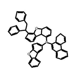 C1=CC2Oc3c(C(Cc4ccccc4)c4ccccc4)cccc3C2C(N(c2ccc3oc4ccccc4c3c2)c2cc3ccccc3c3c2CCC=C3)=C1